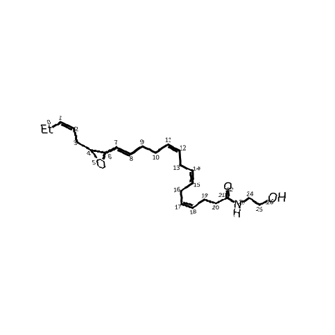 CC/C=C\CC1OC1/C=C/CC/C=C\C/C=C\C/C=C\CCC(=O)NCCO